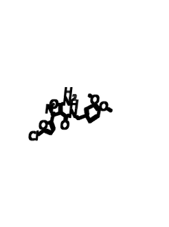 COc1ccc(CNC(=O)c2c(-c3ccc(Cl)o3)noc2N)cc1OC